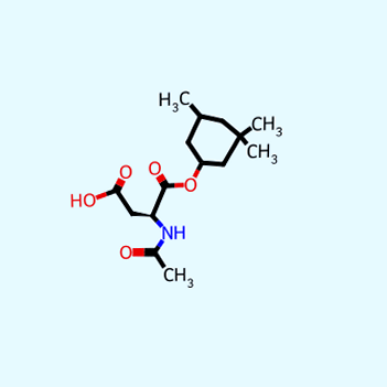 CC(=O)N[C@@H](CC(=O)O)C(=O)OC1CC(C)CC(C)(C)C1